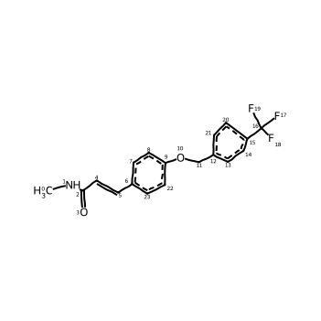 CNC(=O)C=Cc1ccc(OCc2ccc(C(F)(F)F)cc2)cc1